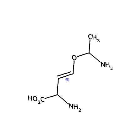 CC(N)O/C=C/C(N)C(=O)O